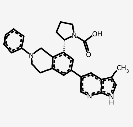 Cc1c[nH]c2ncc(-c3cc4c(c([C@@H]5CCCN5C(=O)O)c3)CN(c3ccccc3)CC4)cc12